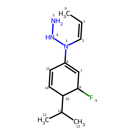 C/C=C\N(NN)C1=CC(F)C(C(C)C)C=C1